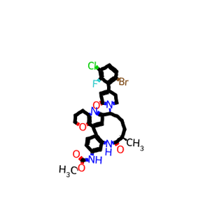 COC(=O)Nc1ccc2c(c1)NC(=O)[C@H](C)CCC[C@H](N1CCC(c3c(Br)ccc(Cl)c3F)=CC1=O)c1cc-2c2c(n1)CCCO2